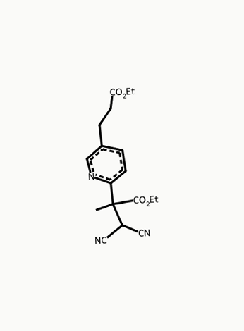 CCOC(=O)CCc1ccc(C(C)(C(=O)OCC)C(C#N)C#N)nc1